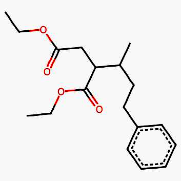 CCOC(=O)CC(C(=O)OCC)C(C)CCc1ccccc1